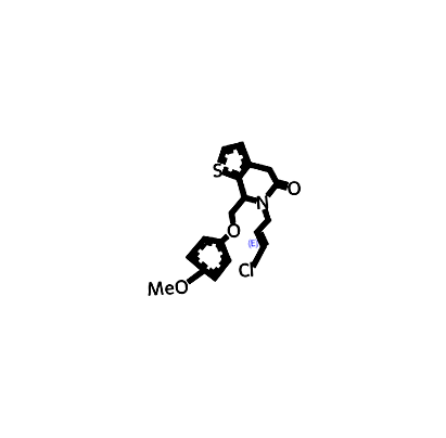 COc1ccc(OCC2c3sccc3CC(=O)N2C/C=C/Cl)cc1